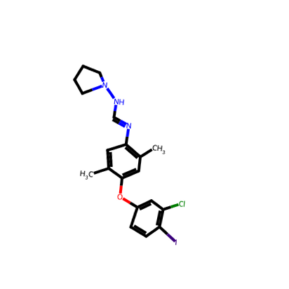 Cc1cc(Oc2ccc(I)c(Cl)c2)c(C)cc1/N=C/NN1CCCC1